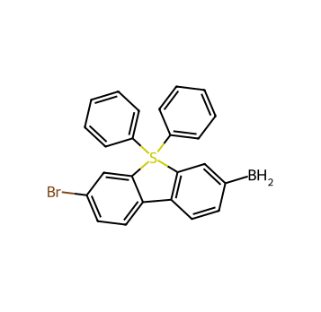 Bc1ccc2c(c1)S(c1ccccc1)(c1ccccc1)c1cc(Br)ccc1-2